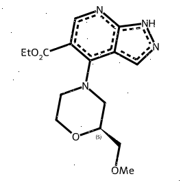 CCOC(=O)c1cnc2[nH]ncc2c1N1CCO[C@H](COC)C1